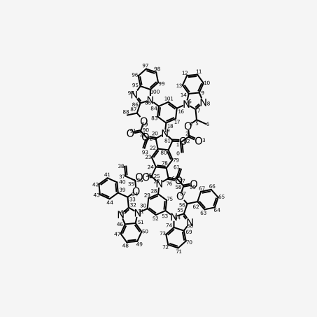 C=CC(=O)OC(C)c1nc2ccccc2n1-c1cc(-n2c(=O)c3cc4c(=O)n(-c5cc(-n6c(C(OC(=O)C=C)c7ccccc7)nc7ccccc76)cc(-n6c(C(OC(=O)C=C)c7ccccc7)nc7ccccc76)c5)c(=O)c4cc3c2=O)cc(-n2c(C(C)OC(=O)C=C)nc3ccccc32)c1